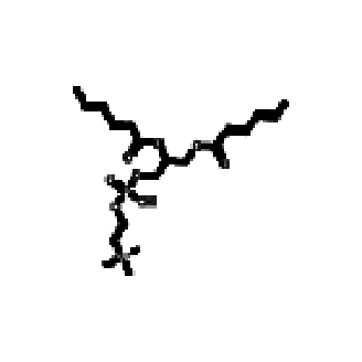 C/C=C/C=C/C(=O)OCC(COP(=O)(O)OCC[N+](C)(C)C)OC(=O)/C=C/C=C/C